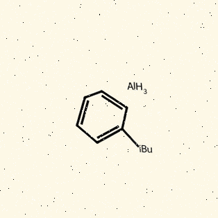 [AlH3].[CH2]C(CC)c1ccccc1